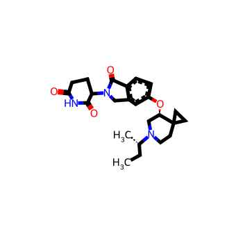 CC[C@H](C)N1CCC2(CC2)[C@@H](Oc2ccc3c(c2)CN(C2CCC(=O)NC2=O)C3=O)C1